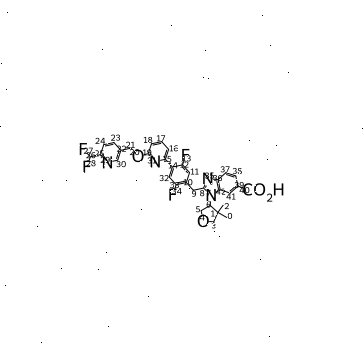 CC1(C)COCC1n1c(Cc2cc(F)c(-c3cccc(OCc4ccc(C(F)F)nc4)n3)cc2F)nc2ccc(C(=O)O)cc21